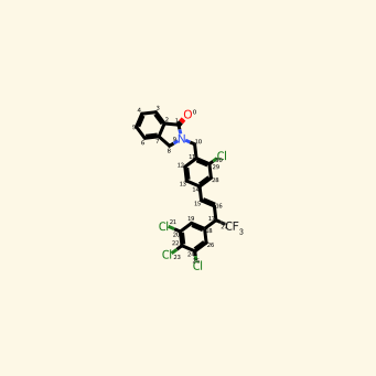 O=C1c2ccccc2CN1Cc1ccc(/C=C/C(c2cc(Cl)c(Cl)c(Cl)c2)C(F)(F)F)cc1Cl